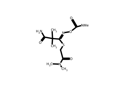 CNC(=O)ON=C(SCC(=O)N(C)C)C(C)(C)C(N)=O